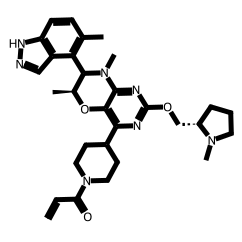 C=CC(=O)N1CCC(c2nc(OC[C@@H]3CCCN3C)nc3c2O[C@@H](C)C(c2c(C)ccc4[nH]ncc24)N3C)CC1